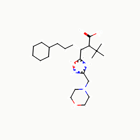 CC(C)(C)C(C(=O)O)[C@@H](CCCC1CCCCC1)c1nc(CN2CCOCC2)no1